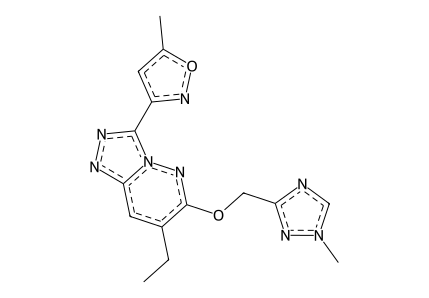 CCc1cc2nnc(-c3cc(C)on3)n2nc1OCc1ncn(C)n1